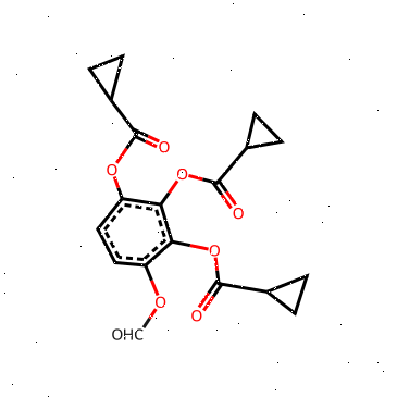 O=COc1ccc(OC(=O)C2CC2)c(OC(=O)C2CC2)c1OC(=O)C1CC1